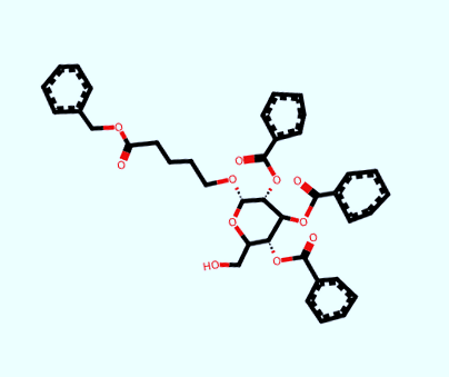 O=C(CCCCO[C@H]1OC(CO)[C@@H](OC(=O)c2ccccc2)C(OC(=O)c2ccccc2)[C@H]1OC(=O)c1ccccc1)OCc1ccccc1